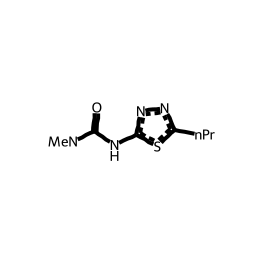 CCCc1nnc(NC(=O)NC)s1